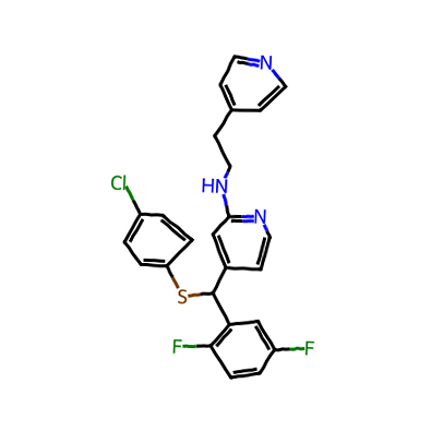 Fc1ccc(F)c(C(Sc2ccc(Cl)cc2)c2ccnc(NCCc3ccncc3)c2)c1